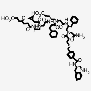 C[C@@H](CN(CC(=O)N[C@@H](CCC(=O)O)CN(CC(=O)N[C@@H](Cc1ccccc1)CN(CC(N)=O)C(=O)CCSCc1ccc(C(=O)N[C@H](CN)Cc2ccccc2)cc1)C(=O)CCC1CCCCC1)C(=O)CC1CC1)NC(=O)CCC(=O)CCC(=O)O